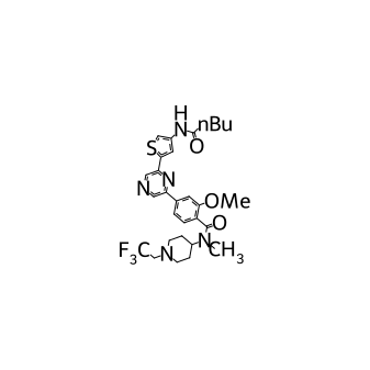 CCCCC(=O)Nc1csc(-c2cncc(-c3ccc(C(=O)N(C)C4CCN(CC(F)(F)F)CC4)c(OC)c3)n2)c1